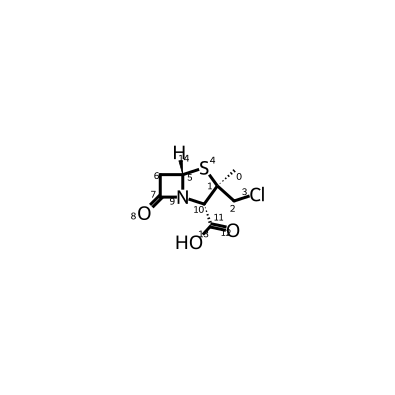 C[C@@]1(CCl)S[C@H]2CC(=O)N2[C@H]1C(=O)O